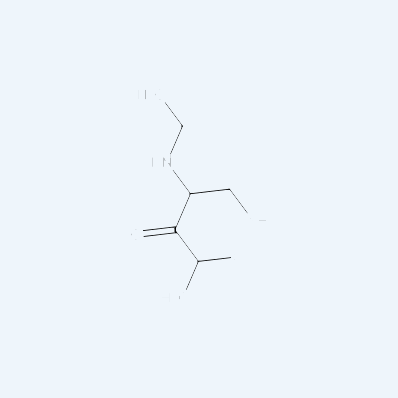 CCNC(CS)C(=O)C(C)C